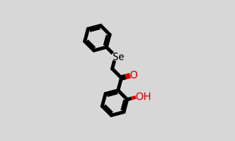 O=C(C[Se]c1ccccc1)c1ccccc1O